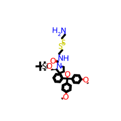 COc1ccc(C(O[C@@H]2C[C@@H](CO[Si](C)(C)C(C)(C)C)N(C(=O)NCCSSCCN)C2)(c2ccccc2)c2ccc(OC)cc2)cc1